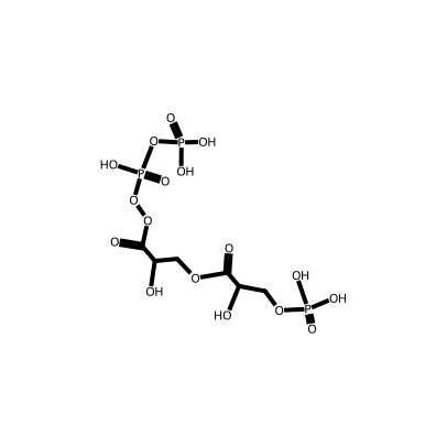 O=C(OCC(O)C(=O)OOP(=O)(O)OP(=O)(O)O)C(O)COP(=O)(O)O